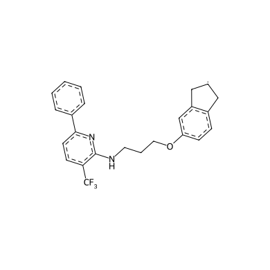 FC(F)(F)c1ccc(-c2ccccc2)nc1NCCCOc1ccc2c(c1)C[CH]C2